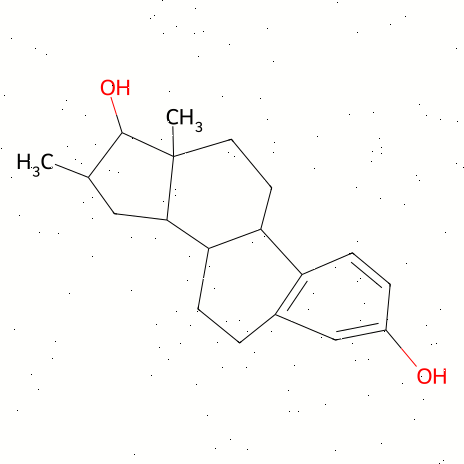 CC1CC2C3CCc4cc(O)ccc4C3CCC2(C)C1O